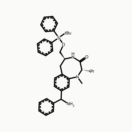 CC(C)[C@H]1C(=O)N[C@H](CO[Si](c2ccccc2)(c2ccccc2)C(C)(C)C)Cc2ccc(C(N)c3ccccc3)cc2N1C